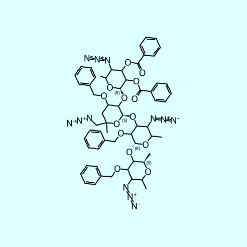 CC1O[C@H](OC2C(OCc3ccccc3)CC(C)(CN=[N+]=[N-])O[C@@H]2OC2C(N=[N+]=[N-])C(C)O[C@H](OC3C(OCc4ccccc4)C(N=[N+]=[N-])C(C)O[C@@H]3C)C2OCc2ccccc2)C(OC(=O)c2ccccc2)C(OC(=O)c2ccccc2)C1N=[N+]=[N-]